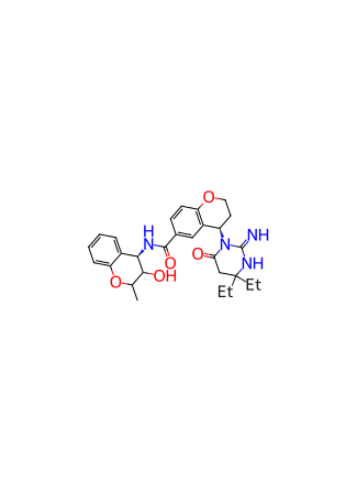 CCC1(CC)CC(=O)N([C@@H]2CCOc3ccc(C(=O)N[C@@H]4c5ccccc5OC(C)C4O)cc32)C(=N)N1